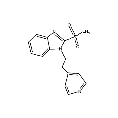 CS(=O)(=O)c1nc2ccccc2n1CCc1ccncc1